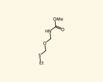 CCSCOCNC(=O)OC